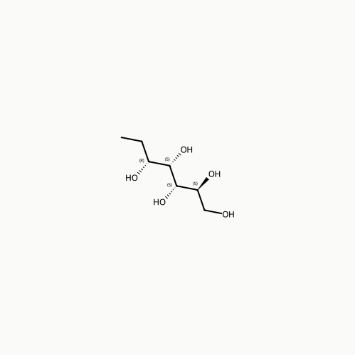 CC[C@@H](O)[C@H](O)[C@@H](O)[C@@H](O)CO